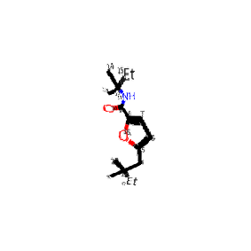 CCC(C)(C)Cc1ccc(C(=O)NC(C)(C)CC)o1